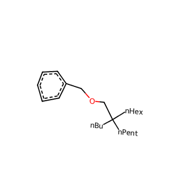 CCCCCCC(CCCC)(CCCCC)COCc1ccccc1